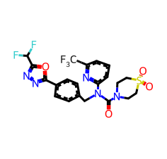 O=C(N1CCS(=O)(=O)CC1)N(Cc1ccc(-c2nnc(C(F)F)o2)cc1)c1cccc(C(F)(F)F)n1